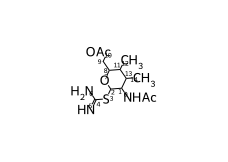 CC(=O)NC1C(SC(=N)N)OC(COC(C)=O)C(C)C1C